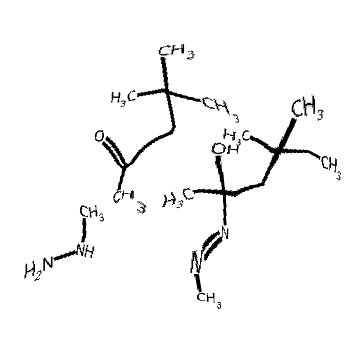 CC(=O)CC(C)(C)C.CN=NC(C)(O)CC(C)(C)C.CNN